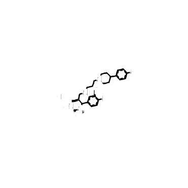 CC1=C(C(=O)NCCCN2CCC(c3ccc(F)cc3)CC2)C(c2ccc(F)c(F)c2)N(C)C(=O)N1C